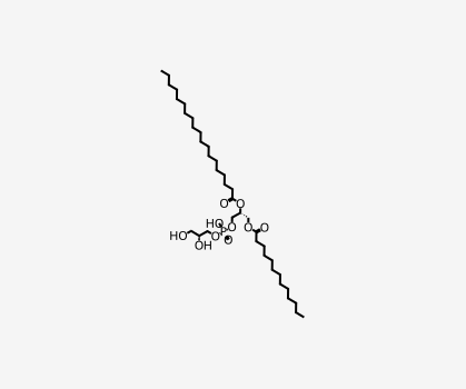 CCCCCCCCCCCCCCCCCCC(=O)O[C@H](COC(=O)CCCCCCCCCCCC)COP(=O)(O)OC[C@@H](O)CO